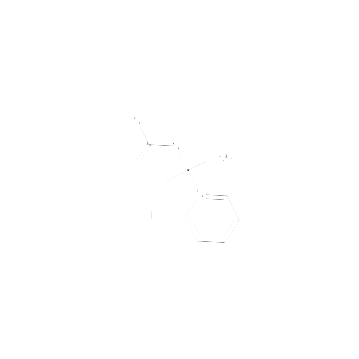 COC(C)(NC(N)=O)[n+]1ccccc1.[Cl-]